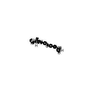 CC(C)Oc1cc2nc(C3CCN(CC(=O)N4CCC(c5ccc(NC6CCC(=O)NC6=O)cc5)CC4)CC3)cn2cc1NC(=O)c1cnn2cccnc12